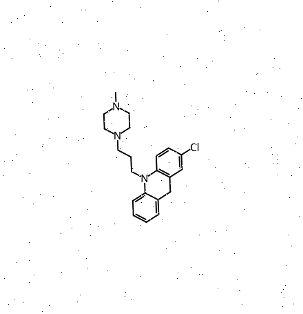 CN1CCN(CCCN2c3ccccc3Cc3cc(Cl)ccc32)CC1